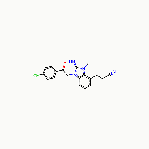 Cn1c(=N)n(CC(=O)c2ccc(Cl)cc2)c2cccc(CCC#N)c21